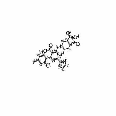 O=C(O)C1=C(CN2CCN3C(=O)NC(=O)C3C2)NC(c2nccs2)=N[C@H]1c1ccc(F)cc1Cl